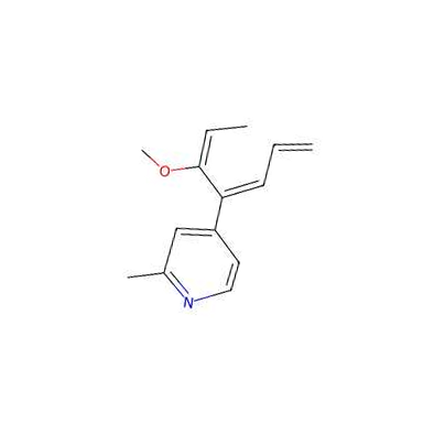 C=C/C=C(\C(=C/C)OC)c1ccnc(C)c1